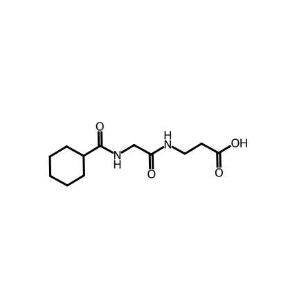 O=C(O)CCNC(=O)CNC(=O)C1CCCCC1